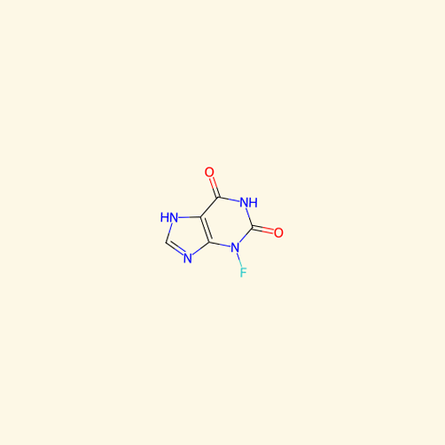 O=c1[nH]c(=O)n(F)c2nc[nH]c12